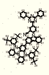 CC(C)(C)c1cc(N2c3ccccc3B3c4ccccc4N(c4cc(C(C)(C)C)cc(C(C)(C)C)c4)c4cc(-c5ccc6c(c5)c5ccccc5n6-c5ccc(-c6nc(-c7ccccc7)nc(-c7ccccc7)n6)cc5C#N)cc2c43)cc(C(C)(C)C)c1